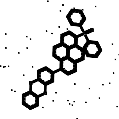 O=P(c1ccccc1)(c1ccccc1)c1ccc2ccc3c(-c4ccc5c(c4)Oc4ccccc4O5)ccc4ccc1c2c43